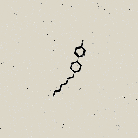 FC=CCCCC[C@H]1CC[C@H](c2ccc(F)cc2)CC1